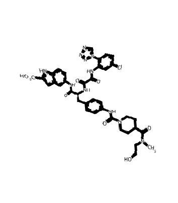 CN(CCO)C(=O)C1CCN(C(=O)Nc2ccc(C[C@H](NC(=O)C(=O)Nc3cc(Cl)ccc3-n3cnnn3)C(=O)Nc3ccc4[nH]c(C(=O)O)cc4c3)cc2)CC1